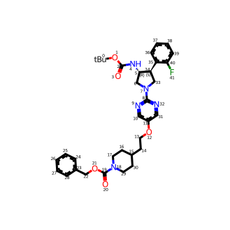 CC(C)(C)OC(=O)N[C@H]1CN(c2ncc(OCCC3CCN(C(=O)OCc4ccccc4)CC3)cn2)C[C@@H]1c1ccccc1F